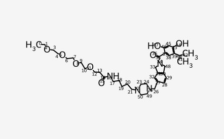 CCOCCOCCOCCOCCC(=O)NCCCCCN1CCN(Cc2ccc3c(c2)CN(C(=O)c2cc(C(C)C)c(O)cc2O)C3)CC1